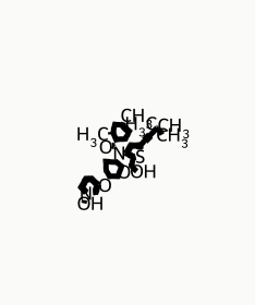 CC1=CC[C@H](C(=O)N(c2cc(C#CC(C)(C)C)sc2C(=O)O)[C@H]2CC[C@H](Oc3ccc[n+](O)c3)CC2)[C@@H](C)C1